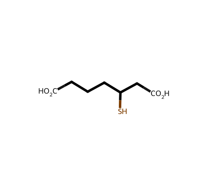 O=C(O)CCCC(S)CC(=O)O